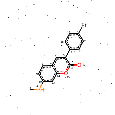 CCc1ccc(-c2cc3ccc(PC)cc3oc2=O)cc1